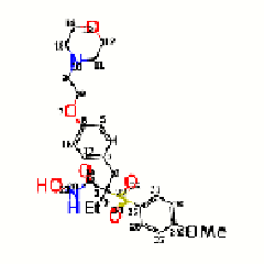 CCC(Cc1ccc(OCCN2CCOCC2)cc1)(C(=O)NO)S(=O)(=O)c1ccc(OC)cc1